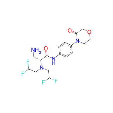 NC[C@H](C(=O)Nc1ccc(N2CCOCC2=O)cc1)N(CC(F)F)CC(F)F